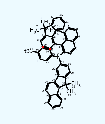 Cc1cccc2ccc(N(c3ccc(C(C)(C)C)cc3)c3ccc4c(c3)-c3ccc5ccccc5c3C4(C)C)c(-c3cccc4c3-c3ccccc3C4(C)C)c12